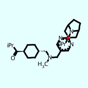 CC(C)C(=O)[C@H]1CC[C@H](CN(C)Cc2cnc(N3C4CCC3CN(C(C)C)C4)nc2)CC1